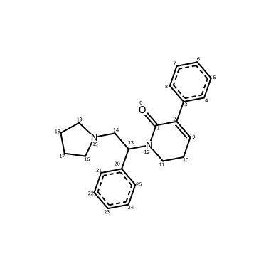 O=C1C(c2ccccc2)=CCCN1C(CN1CCCC1)c1ccccc1